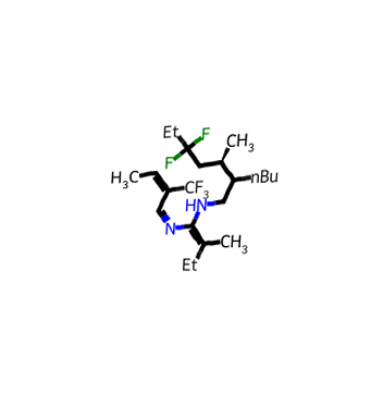 C\C=C(/C=N\C(NCC(CCCC)[C@H](C)CC(F)(F)CC)=C(\C)CC)C(F)(F)F